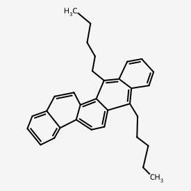 CCCCCc1c2ccccc2c(CCCCC)c2c1ccc1c3ccccc3ccc12